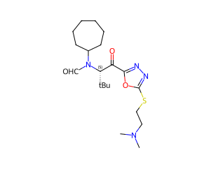 CN(C)CCSc1nnc(C(=O)[C@@H](N(C=O)C2CCCCCC2)C(C)(C)C)o1